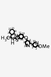 COc1ccc(-c2cc(Oc3ccc4nc(N[C@@H](C)C5CCCCC5)sc4c3)ccn2)cn1